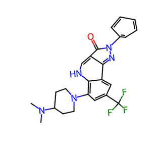 CN(C)C1CCN(c2cc(C(F)(F)F)cc3c4nn(-c5ccccc5)c(=O)c-4c[nH]c23)CC1